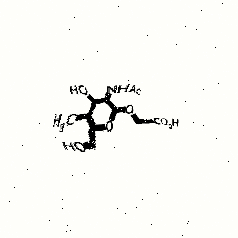 CC(=O)NC1C(OCC(=O)O)OC(CO)C(C)C1O